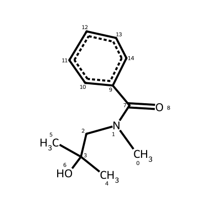 CN(CC(C)(C)O)C(=O)c1ccccc1